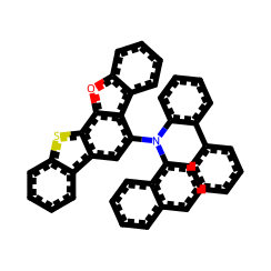 c1ccc(-c2ccccc2N(c2cccc3ccccc23)c2cc3c4ccccc4sc3c3oc4ccccc4c23)cc1